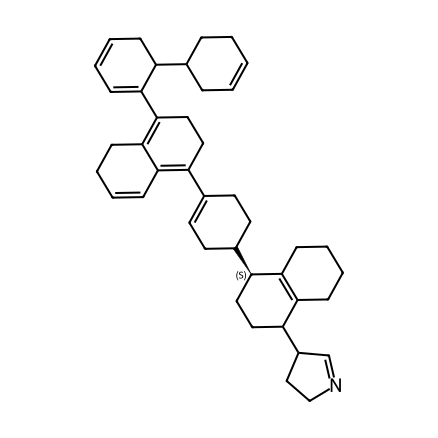 C1=CCC(C2CC=CCC2)C(C2=C3CCC=CC3=C(C3=CCC([C@@H]4CCC(C5C=NCC5)C5=C4CCCC5)CC3)CC2)=C1